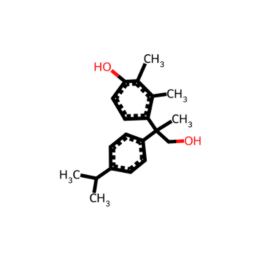 Cc1c(O)ccc(C(C)(CO)c2ccc(C(C)C)cc2)c1C